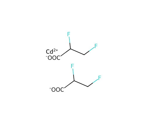 O=C([O-])C(F)CF.O=C([O-])C(F)CF.[Cd+2]